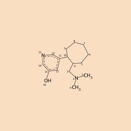 CN(C)CC1CCCCCC1c1cncc(O)c1